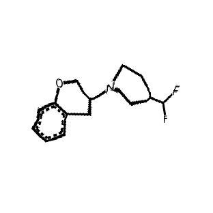 FC(F)C1CCN(C2COc3ccccc3C2)C1